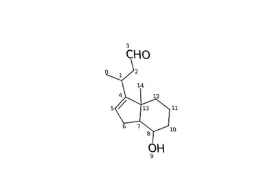 CC(CC=O)C1=CCC2C(O)CCCC12C